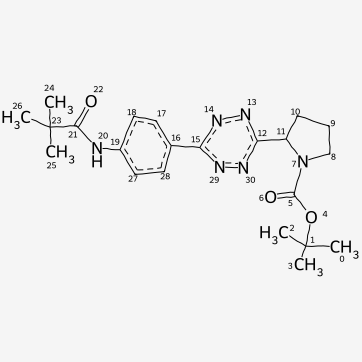 CC(C)(C)OC(=O)N1CCCC1c1nnc(-c2ccc(NC(=O)C(C)(C)C)cc2)nn1